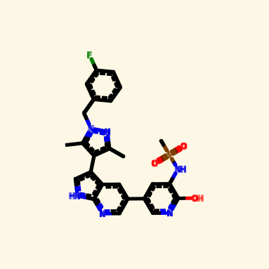 Cc1nn(Cc2cccc(F)c2)c(C)c1-c1c[nH]c2ncc(-c3cnc(O)c(NS(C)(=O)=O)c3)cc12